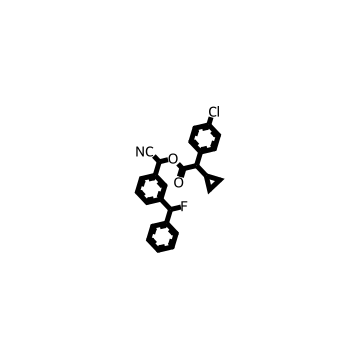 N#CC(OC(=O)C(c1ccc(Cl)cc1)C1CC1)c1cccc(C(F)c2ccccc2)c1